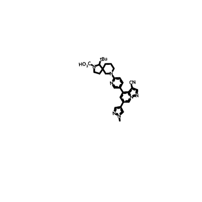 Cn1cc(-c2cc(-c3ccc(N4CCCC5(CCN(C(=O)O)C5C(C)(C)C)C4)nc3)c3c(C#N)cnn3c2)cn1